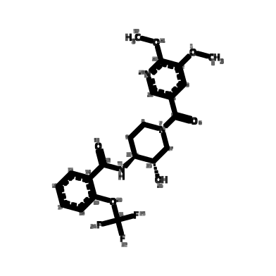 COc1cc(C(=O)N2CC[C@H](NC(=O)c3ccccc3OC(F)(F)F)[C@@H](O)C2)cnc1OC